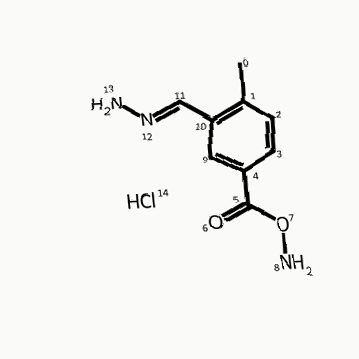 Cc1ccc(C(=O)ON)cc1C=NN.Cl